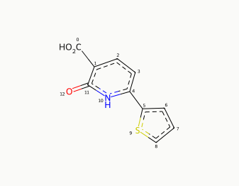 O=C(O)c1ccc(-c2cccs2)[nH]c1=O